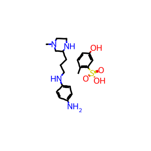 CN1CCNC(CCCNc2ccc(N)cc2)C1.Cc1ccc(O)cc1S(=O)(=O)O